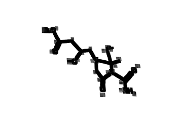 CC(C)COC(=O)CC(O)CN1CC(=O)N(C(N)=O)C1(C)C(C)C